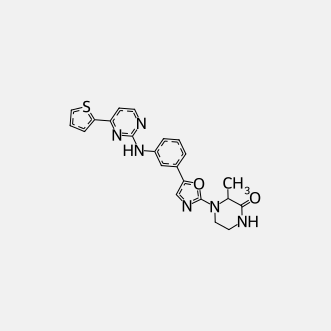 CC1C(=O)NCCN1c1ncc(-c2cccc(Nc3nccc(-c4cccs4)n3)c2)o1